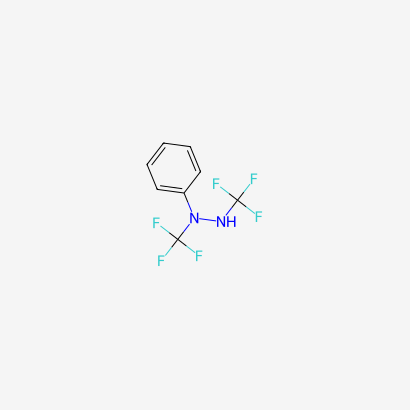 FC(F)(F)NN(c1ccccc1)C(F)(F)F